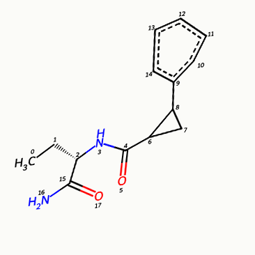 CC[C@H](NC(=O)C1CC1c1ccccc1)C(N)=O